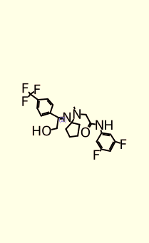 CN(CC(=O)Nc1cc(F)cc(F)c1)C1(/N=C(\CO)c2ccc(C(F)(F)F)cc2)CCCC1